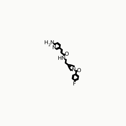 Nc1ccc(/C=C/C(=O)NCCC2C3CN(C(=O)c4ccc(F)cc4)CC23)cn1